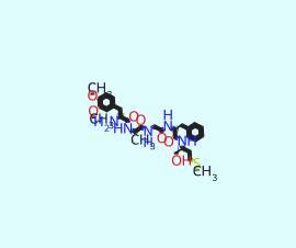 COc1ccc(C[C@H](N)C(=O)N[C@H](C)C(=O)NCC(=O)N[C@@H](Cc2ccccc2)C(=O)N[C@H](CO)CCSC)cc1OC